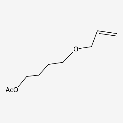 C=CCOCCCCOC(C)=O